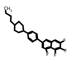 CCCCC1CCC(c2ccc(-c3cc(F)c4c(F)c(F)c(F)cc4c3)cc2)CC1